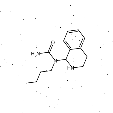 CCCCN(C(N)=O)C1NCCc2ccccc21